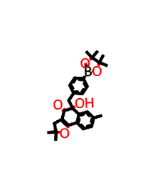 Cc1ccc2c(c1)C(O)(Cc1ccc(B3OC(C)(C)C(C)(C)O3)cc1)C(=O)C1=C2OC(C)(C)C1